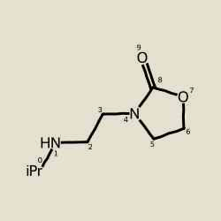 CC(C)NCCN1CCOC1=O